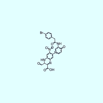 O=CC1Nc2cc([N+](=O)[O-])c(-n3ccc(=O)c(NC(=O)Cc4ccc(Br)cc4)c3)cc2N=C1C(=O)O